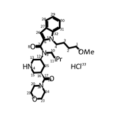 COCCCCn1c(C(=O)N(CC(C)C)[C@@H]2CNC[C@H](C(=O)N3CCOCC3)C2)cc2ccccc21.Cl